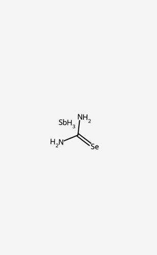 NC(N)=[Se].[SbH3]